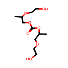 CC(COC(=O)OC(C)COCCO)OCCO